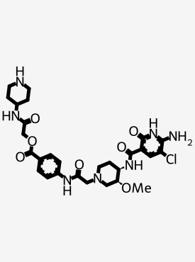 CO[C@@H]1CN(CC(=O)Nc2ccc(C(=O)OCC(=O)NC3CCNCC3)cc2)CC[C@@H]1NC(=O)c1cc(Cl)c(N)[nH]c1=O